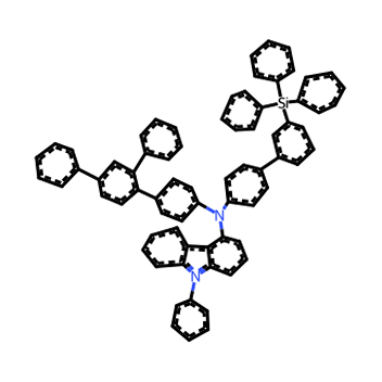 c1ccc(-c2ccc(-c3ccc(N(c4ccc(-c5cccc([Si](c6ccccc6)(c6ccccc6)c6ccccc6)c5)cc4)c4cccc5c4c4ccccc4n5-c4ccccc4)cc3)c(-c3ccccc3)c2)cc1